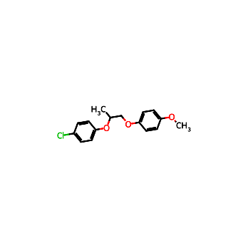 COc1ccc(OCC(C)Oc2ccc(Cl)cc2)cc1